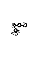 COc1cc(-c2oncc2-c2ccc(-c3ccccn3)cc2)cc(OC)c1OC